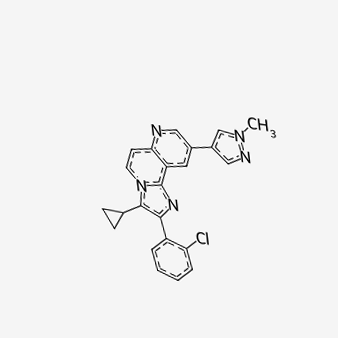 Cn1cc(-c2cnc3ccn4c(C5CC5)c(-c5ccccc5Cl)nc4c3c2)cn1